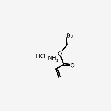 C=CC(=O)OCC(C)(C)C.Cl.N